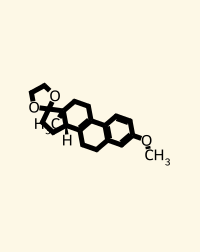 COc1ccc2c(c1)CCC1=C2CCC2(C)[C@H]1CCC21OCCO1